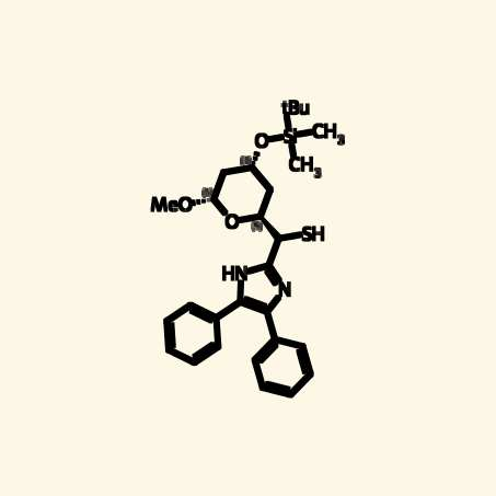 CO[C@@H]1C[C@H](O[Si](C)(C)C(C)(C)C)C[C@@H](C(S)c2nc(-c3ccccc3)c(-c3ccccc3)[nH]2)O1